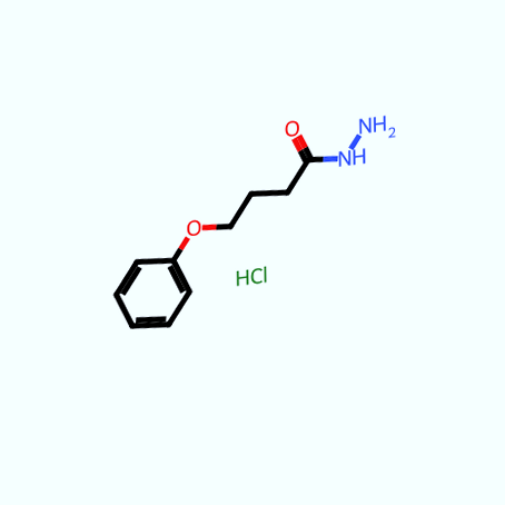 Cl.NNC(=O)CCCOc1ccccc1